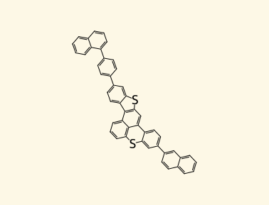 c1ccc2cc(-c3ccc4c(c3)Sc3cccc5c3c-4cc3sc4cc(-c6ccc(-c7cccc8ccccc78)cc6)ccc4c35)ccc2c1